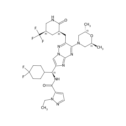 CCn1nccc1C(=O)N[C@H](c1cn2nc(C[C@H]3C[C@@H](C(F)(F)F)CNC3=O)c(N3C[C@H](C)O[C@@H](C)C3)nc2n1)C1CCC(F)(F)CC1